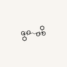 CC(C)(OCCCCOC(C)(C)C(=O)c1ccccc1)C(=O)c1ccccc1